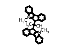 Cn1c2c(c3ccccc31)-c1ccccc1C2C(C)(C)C1c2ccccc2-c2c1n(C)c1ccccc21